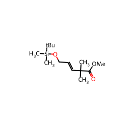 COC(=O)C(C)(C)/C=C/CO[Si](C)(C)C(C)(C)C